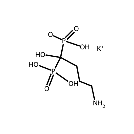 NCCCC(O)(P(=O)([O-])O)P(=O)(O)O.[K+]